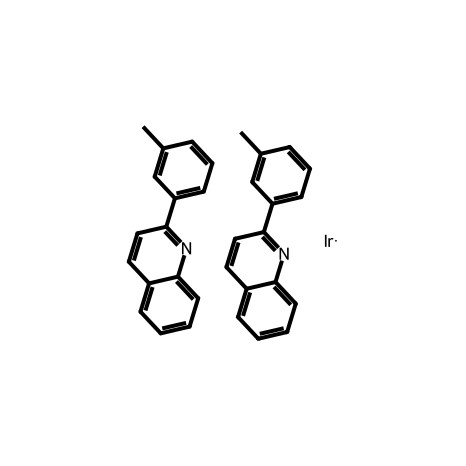 Cc1cccc(-c2ccc3ccccc3n2)c1.Cc1cccc(-c2ccc3ccccc3n2)c1.[Ir]